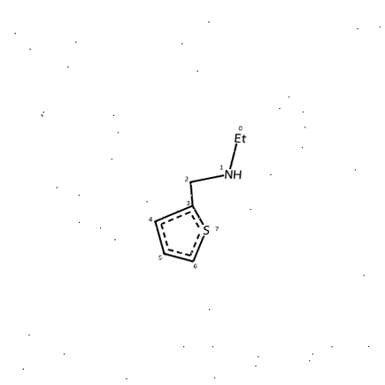 CCNCc1cccs1